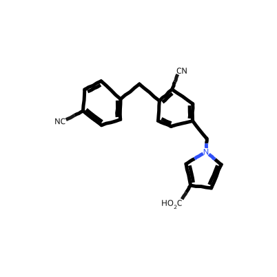 N#Cc1ccc(Cc2ccc(Cn3ccc(C(=O)O)c3)cc2C#N)cc1